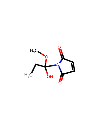 CCC(O)(OC)N1C(=O)C=CC1=O